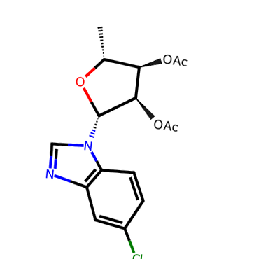 CC(=O)O[C@@H]1[C@H](OC(C)=O)[C@@H](C)O[C@H]1n1cnc2cc(Cl)ccc21